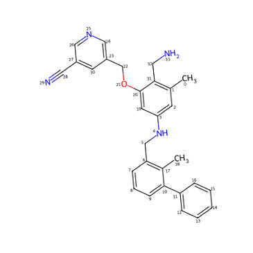 Cc1cc(NCc2cccc(-c3ccccc3)c2C)cc(OCc2cncc(C#N)c2)c1CN